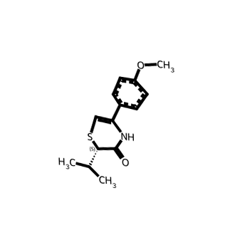 COc1ccc(C2=CS[C@@H](C(C)C)C(=O)N2)cc1